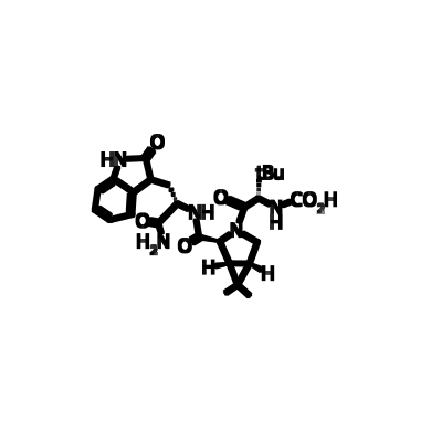 CC(C)(C)[C@H](NC(=O)O)C(=O)N1C[C@H]2[C@@H]([C@H]1C(=O)N[C@@H](CC1C(=O)Nc3ccccc31)C(N)=O)C2(C)C